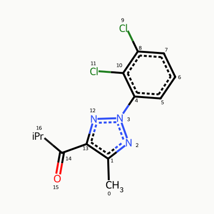 Cc1nn(-c2cccc(Cl)c2Cl)nc1C(=O)C(C)C